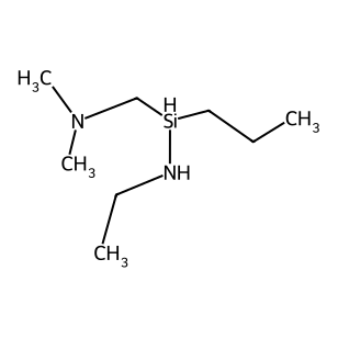 CCC[SiH](CN(C)C)NCC